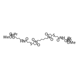 COP(=O)(OCCCCCNC(=O)CCSC1CC(=O)N(CCCCCCN2C(=O)CC(SCCC(=O)NCCOP(=O)(OC)C(C)C)C2=O)C1=O)C(C)C